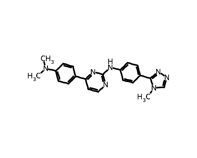 CN(C)c1ccc(-c2ccnc(Nc3ccc(-c4nncn4C)cc3)n2)cc1